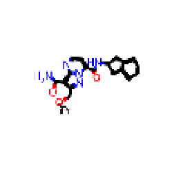 CC(C)OCc1nn2c(C(=O)NC3Cc4ccccc4C3)ccnc2c1C(N)=O